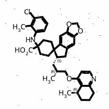 Cc1c(Cl)cccc1NC1(C(=O)O)CCC2(CC1)c1cc3c(cc1C[C@@H]2C[C@@H](C)COc1ccnc2c1[C@H](C)CCC2)OCO3